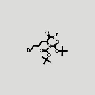 COC(=O)C(CCCBr)N(C(=O)OC(C)(C)C)C(=O)OC(C)(C)C